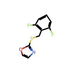 Fc1cccc(F)c1CSc1ncco1